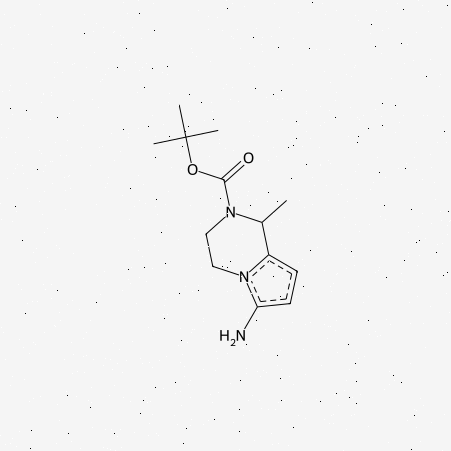 CC1c2ccc(N)n2CCN1C(=O)OC(C)(C)C